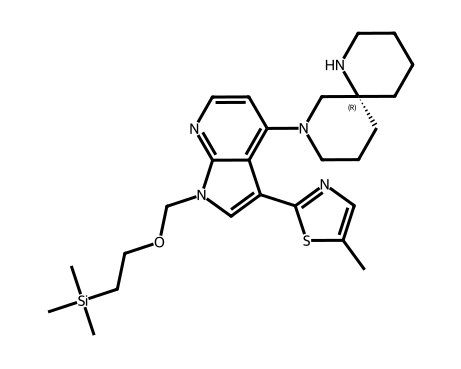 Cc1cnc(-c2cn(COCC[Si](C)(C)C)c3nccc(N4CCC[C@]5(CCCCN5)C4)c23)s1